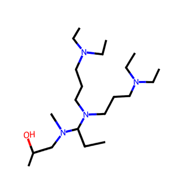 CCC(N(C)CC(C)O)N(CCCN(CC)CC)CCCN(CC)CC